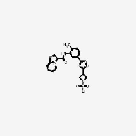 CCS(=O)(=O)N1CC(c2nc(-c3ccc(C)c(NC(=O)c4cnc5ccccn45)c3)no2)C1